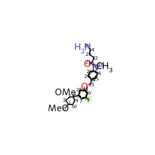 COC1CCC(OC)(c2cc(F)cc(OCc3ccc(N(C)C(=O)CCCN)cc3)c2)CC1